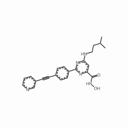 CC(C)CCNc1cc(C(=O)NO)nc(-c2ccc(C#Cc3cccnc3)cc2)n1